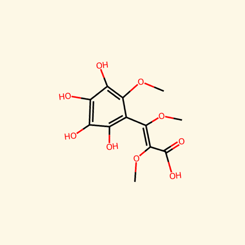 COC(C(=O)O)=C(OC)c1c(O)c(O)c(O)c(O)c1OC